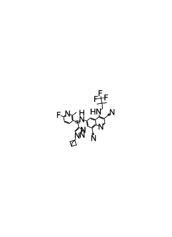 Cc1nc(F)ccc1[C@H](Nc1cc(C#N)c2ncc(C#N)c(NCC(C)(C)C(F)(F)F)c2c1)c1cn(C23CC(C2)C3)nn1